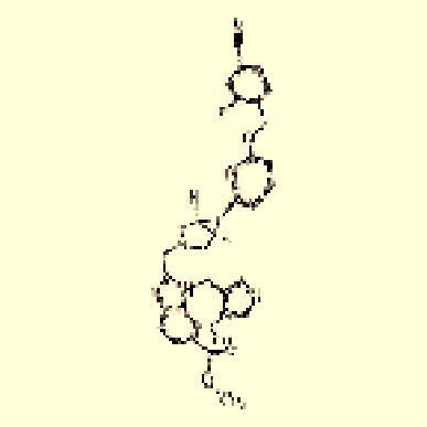 CCn1cncc1Cn1c(CN2C[C@@H]3[C@H](C2)[C@@H]3c2cccc(OCc3ccc(C#N)cc3F)n2)nc2ccc(C(=O)OC)cc21